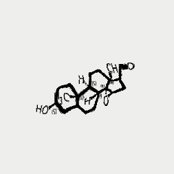 C[C@]12CC[C@H](O)CC1CC[C@@H]1[C@@H]2CC[C@]2(C)C(C=O)CC3O[C@]312